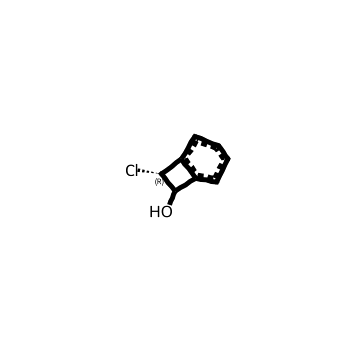 OC1c2ccccc2[C@H]1Cl